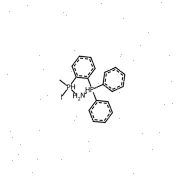 C[PH](C)(I)c1ccccc1[PH](N)(c1ccccc1)c1ccccc1